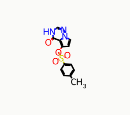 Cc1ccc(S(=O)(=O)Oc2ccn3nc[nH]c(=O)c23)cc1